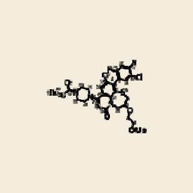 COCCOC1CSc2c(-c3cc(Cl)c(F)cc3F)c(C(F)(F)F)cc3c(N4CCN(C(=O)OC(C)(C)C)CC4)nc(=O)n(c23)C1